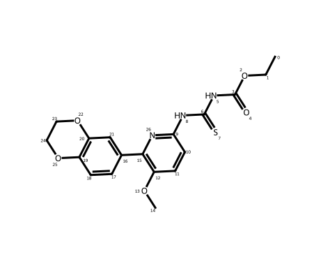 CCOC(=O)NC(=S)Nc1ccc(OC)c(-c2ccc3c(c2)OCCO3)n1